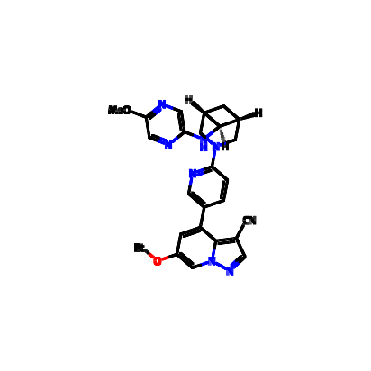 CCOc1cc(-c2ccc(N3C[C@H]4C[C@@H](C3)[C@@H]4Nc3cnc(OC)cn3)nc2)c2c(C#N)cnn2c1